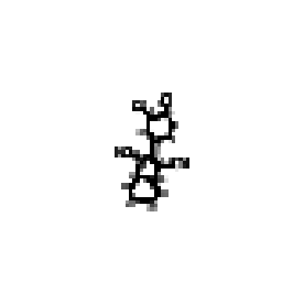 N#Cc1c(-c2ccc(Cl)c(Cl)c2)n(O)c2ccccc12